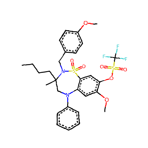 CCCCC1(C)CN(c2ccccc2)c2cc(OC)c(OS(=O)(=O)C(F)(F)F)cc2S(=O)(=O)N1Cc1ccc(OC)cc1